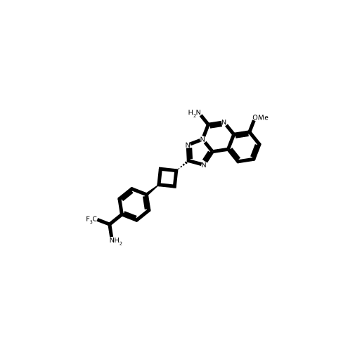 COc1cccc2c1nc(N)n1nc([C@H]3C[C@H](c4ccc(C(N)C(F)(F)F)cc4)C3)nc21